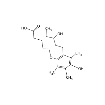 CCC(O)CCc1c(C)c(O)c(C)c(C)c1OCCCCC(=O)O